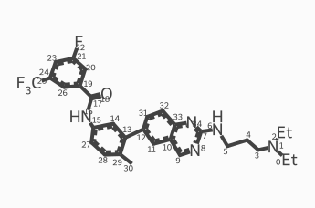 CCN(CC)CCCNc1ncc2cc(-c3cc(NC(=O)c4cc(F)cc(C(F)(F)F)c4)ccc3C)ccc2n1